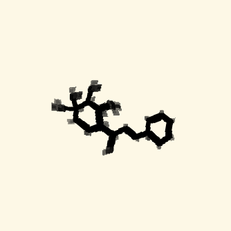 O=C(C=Cc1ccccc1)C1=C(O)C(O)C(O)(O)C=C1